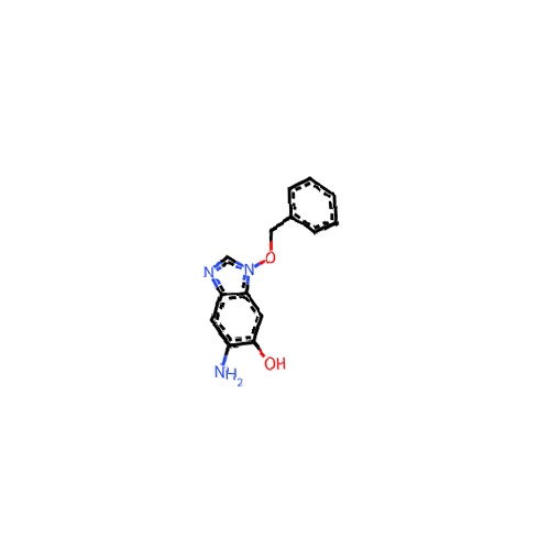 Nc1cc2ncn(OCc3ccccc3)c2cc1O